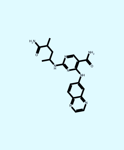 CC(CC(C)C(N)=O)Nc1ncc(C(N)=O)c(Nc2ccc3nccnc3c2)n1